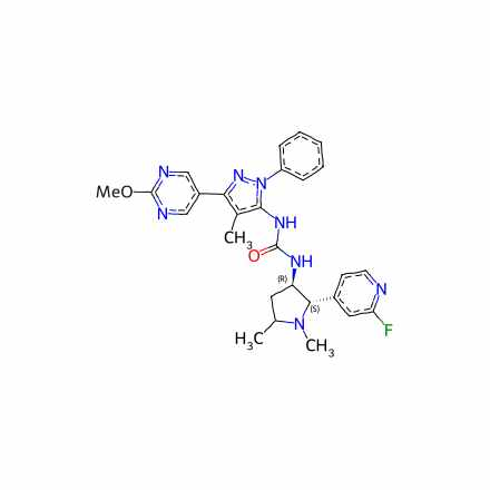 COc1ncc(-c2nn(-c3ccccc3)c(NC(=O)N[C@@H]3CC(C)N(C)[C@H]3c3ccnc(F)c3)c2C)cn1